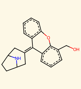 OCc1cccc2c1Oc1ccccc1C2=C1CC2CCC(C1)N2